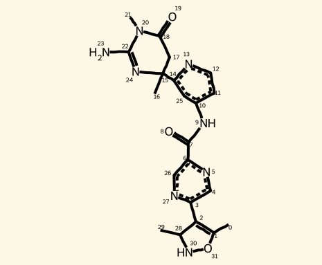 CC1=C(c2cnc(C(=O)Nc3ccnc(C4(C)CC(=O)N(C)C(N)=N4)c3)cn2)C(C)NO1